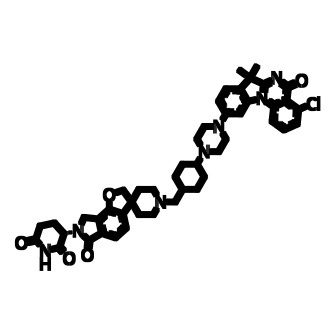 CC1(C)c2ccc(N3CCN(C4CCC(CN5CCC6(CC5)COc5c6ccc6c5CN([C@H]5CCC(=O)NC5=O)C6=O)CC4)CC3)cc2-n2c1nc(=O)c1c(Cl)cccc12